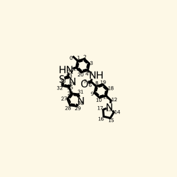 Cc1ccc(NC(=O)c2ccc(CN3CCCC3)cc2)cc1Nc1nc(-c2cccnc2)cs1